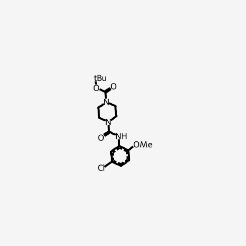 COc1ccc(Cl)cc1NC(=O)N1CCN(C(=O)OC(C)(C)C)CC1